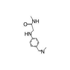 C/N=C\c1ccc(NCC(=O)NC)cc1